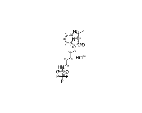 Cc1nc2cccc3n(CCCCCNS(=O)(=O)C(F)(F)F)c(=O)c1n23.Cl